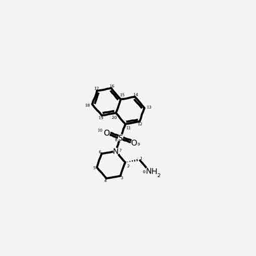 NC[C@@H]1CCCCN1S(=O)(=O)c1cccc2ccccc12